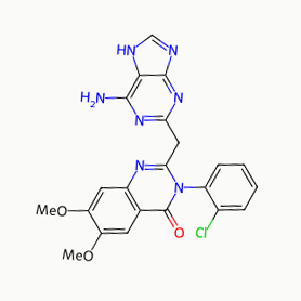 COc1cc2nc(Cc3nc(N)c4[nH]cnc4n3)n(-c3ccccc3Cl)c(=O)c2cc1OC